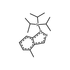 Cc1cccc2c1cnn2[Si](C(C)C)(C(C)C)C(C)C